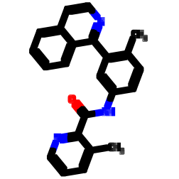 Cc1ccc(NC(=O)c2ncccc2C)cc1-c1nccc2ccccc12